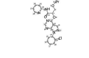 CC(C)OCC(Oc1ncnc2c1cnn2-c1ccccc1Cl)C(=O)Nc1ccccn1